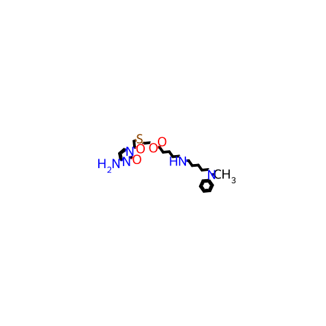 CN(CCCCCNCCCCC(=O)OCC1OC(n2ccc(N)nc2=O)CS1)c1ccccc1